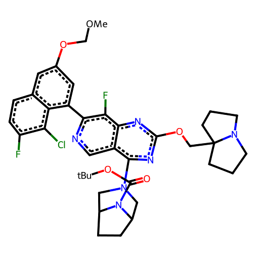 COCOc1cc(-c2ncc3c(N4CC5CCC(C4)N5C(=O)OC(C)(C)C)nc(OCC45CCCN4CCC5)nc3c2F)c2c(Cl)c(F)ccc2c1